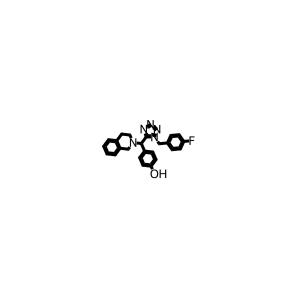 Oc1ccc(C(c2nnnn2Cc2ccc(F)cc2)N2CCc3ccccc3C2)cc1